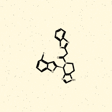 O=C(Cc1nc2ccccc2s1)N1CCc2[nH]cnc2[C@H]1c1cc2c(F)cccc2o1